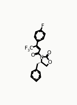 O=C(C=C(c1ccc(F)cc1)C(F)(F)F)N1C(=O)OC[C@@H]1Cc1ccccc1